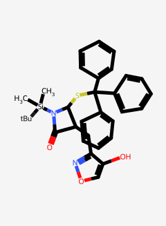 CC(C)(C)[Si](C)(C)N1C(=O)C(Cc2nocc2O)C1SC(c1ccccc1)(c1ccccc1)c1ccccc1